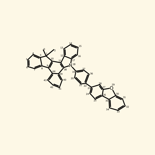 CC1(C)c2ccccc2-c2c1c1c3ccccc3n(-c3ccc(-c4ccc5c(c4)oc4ccccc45)cc3)c1c1ccccc21